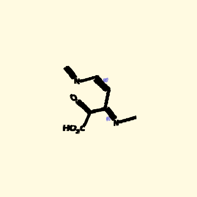 C=N/C=C\C(=N/C)C(=O)C(=O)O